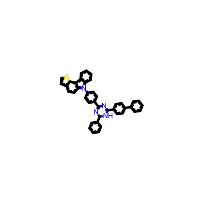 c1ccc(-c2ccc(C3=NC(c4ccc(-n5c6ccccc6c6c7sccc7ccc65)cc4)=NC(c4ccccc4)N3)cc2)cc1